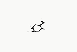 CC1CC2O[C@H]2CC1C=O